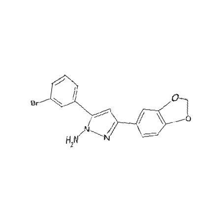 Nn1nc(-c2ccc3c(c2)OCO3)cc1-c1cccc(Br)c1